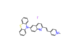 C[n+]1ccc(C=Cc2ccc3cc(N4c5ccccc5Sc5ccccc54)ccc3n2)cc1.[I-]